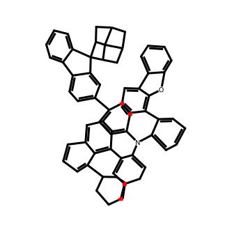 CC1C=C(c2cccc3cccc(C4CCCCC4)c23)C(N(c2ccc(-c3ccc4c(c3)C3(c5ccccc5-4)C4CC5CC6CC3C564)cc2)c2ccccc2-c2cccc3c2oc2ccccc23)=CC1